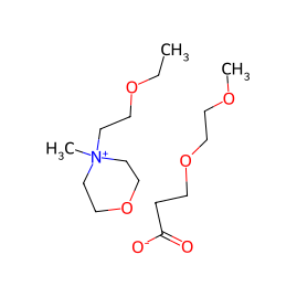 CCOCC[N+]1(C)CCOCC1.COCCOCCC(=O)[O-]